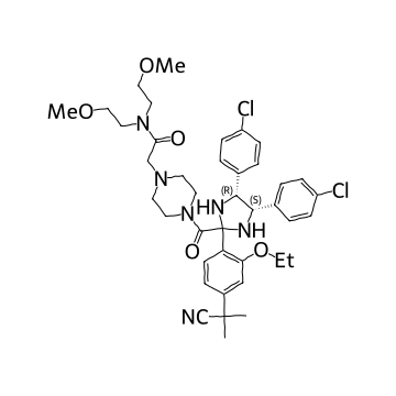 CCOc1cc(C(C)(C)C#N)ccc1C1(C(=O)N2CCN(CC(=O)N(CCOC)CCOC)CC2)N[C@H](c2ccc(Cl)cc2)[C@H](c2ccc(Cl)cc2)N1